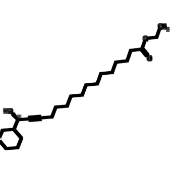 CCOC(=O)CCCCCCCCCCCCC#C[C@H](O)C1CCCCC1